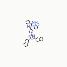 CC1C=CC=CN1c1c(-c2ccc(-c3nc(-c4ccc5ccccc5c4)cc(-c4ccc5ccccc5c4)n3)cc2)nc2ccccc2c1N